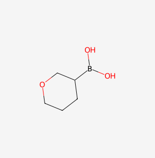 OB(O)C1CCCOC1